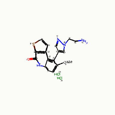 COc1ccc2[nH]c(=O)c3sccc3c2c1-c1cnn(CCN)c1.Cl.Cl